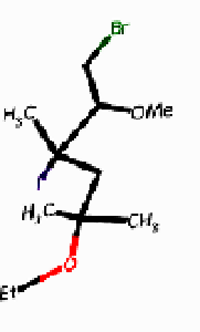 CCOC(C)(C)CC(C)(I)C(CBr)OC